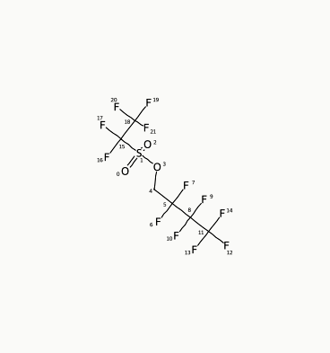 O=S(=O)(OCC(F)(F)C(F)(F)C(F)(F)F)C(F)(F)C(F)(F)F